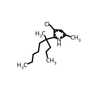 CCCCCC(C)(CCC)c1[nH]c(C)cc1Cl